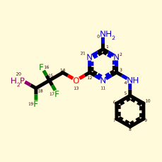 Nc1nc(Nc2ccccc2)nc(OCC(F)(F)C(F)P)n1